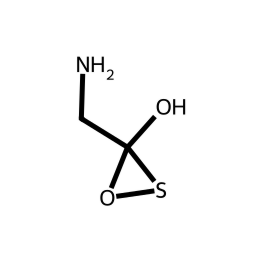 NCC1(O)OS1